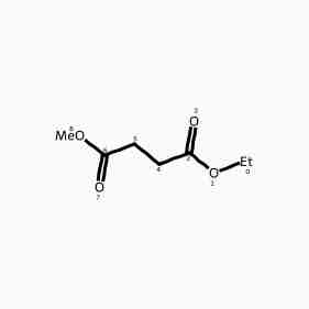 [CH2]COC(=O)CCC(=O)OC